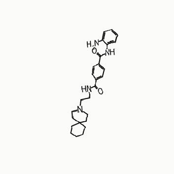 Nc1ccccc1NC(=O)c1ccc(C(=O)NCCN2CCC3(CCCCC3)CC2)cc1